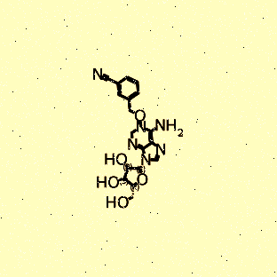 N#Cc1cccc(CON2CN=c3c(ncn3[C@@H]3O[C@H](CO)[C@@H](O)[C@H]3O)=C2N)c1